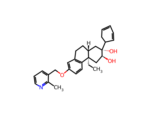 CC[C@@]12C[C@H](O)[C@](O)(C3C=CC=CC3)C[C@H]1CCc1cc(OCc3cccnc3C)ccc12